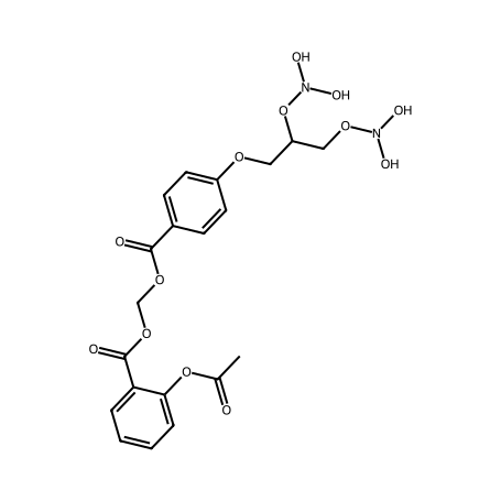 CC(=O)Oc1ccccc1C(=O)OCOC(=O)c1ccc(OCC(CON(O)O)ON(O)O)cc1